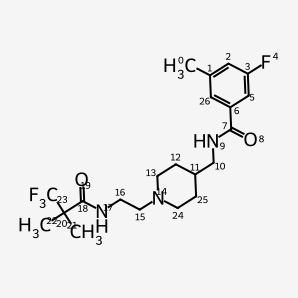 Cc1cc(F)cc(C(=O)NCC2CCN(CCNC(=O)C(C)(C)C(F)(F)F)CC2)c1